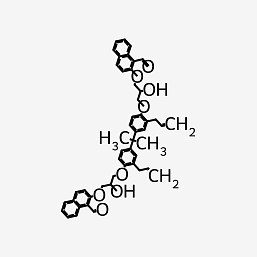 C=CCc1cc(C(C)(C)c2ccc(OCC(O)COc3ccc4ccccc4c3C=O)c(CC=C)c2)ccc1OCC(O)COc1ccc2ccccc2c1C=O